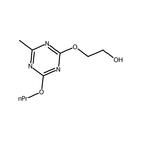 CCCOc1nc(C)nc(OCCO)n1